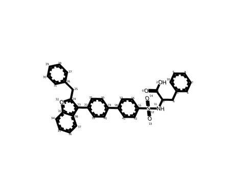 O=C(O)C(Cc1ccccc1)NS(=O)(=O)c1ccc(-c2ccc(-c3c(Cc4ccccc4)oc4ccccc34)cc2)cc1